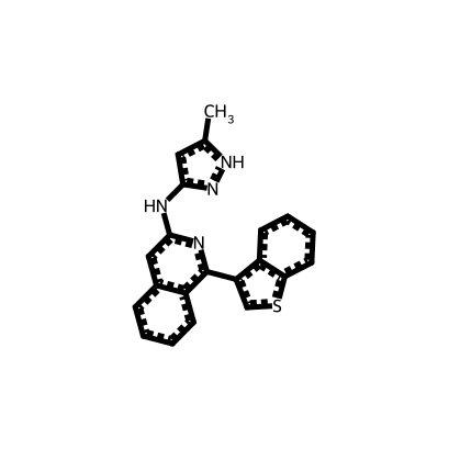 Cc1cc(Nc2cc3ccccc3c(-c3csc4ccccc34)n2)n[nH]1